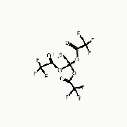 O=C(OC([SiH3])(OC(=O)C(F)(F)F)OC(=O)C(F)(F)F)C(F)(F)F